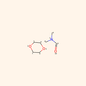 C1COCCO1.CN(C)C=O